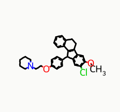 COc1cc2c(cc1Cl)C(c1ccc(OCCN3CCCCC3)cc1)C1=C2CCc2ccccc21